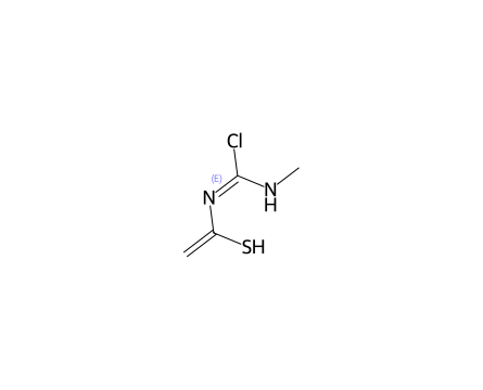 C=C(S)/N=C(/Cl)NC